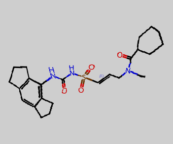 CN(C/C=C/S(=O)(=O)NC(=O)Nc1c2c(cc3c1CCC3)CCC2)C(=O)C1CCCCC1